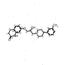 Cc1cccc(C2CCN(CC(O)COc3ccc4c(c3)NC(=O)CC4)CC2)c1